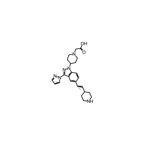 O=C(O)CN1CCC(n2nc(-n3cccn3)c3cc(/C=C/C4CCNCC4)ccc32)CC1